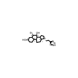 CC[C@@H]1C2C[C@H](O)CC[C@]2(C)C2CC[C@@]3(C)C(CC[C@@H]3CCc3nn[nH]n3)C2[C@@H]1O